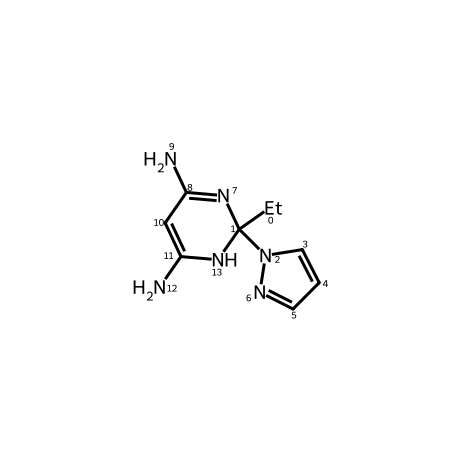 CCC1(n2cccn2)N=C(N)C=C(N)N1